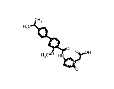 COc1cc(-c2ccc(C(C)C)cc2)ccc1C(=O)Nc1ccc(=O)n(CC(=O)O)c1